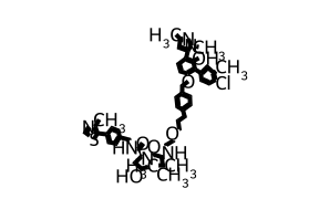 Cc1cc(-c2ccc(OCc3ccc(CCCOCCN[C@H](C(=O)N4C[C@H](O)C[C@H]4C(=O)NCc4ccc(-c5scnc5C)cc4)C(C)(C)C)cc3)c(-c3ccc(Cl)c(C)c3)c2O)n(C)n1